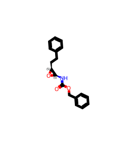 O=C(N[C@H]1O[C@H]1CCc1ccccc1)OCc1ccccc1